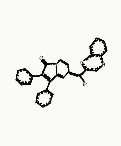 O=C1C(c2ccccc2)=C(c2ccccc2)C2=CC(=C(Br)c3cnc4ccccc4n3)C=CN12